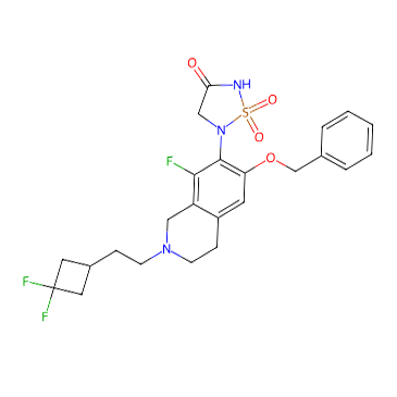 O=C1CN(c2c(OCc3ccccc3)cc3c(c2F)CN(CCC2CC(F)(F)C2)CC3)S(=O)(=O)N1